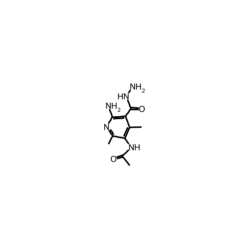 CC(=O)Nc1c(C)nc(N)c(C(=O)NN)c1C